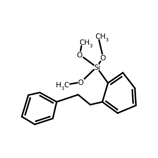 CO[Si](OC)(OC)c1ccccc1CCc1ccccc1